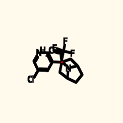 C=CC1(c2cncc(Cl)c2)CC2CCC(C1)N2CC(F)(F)F